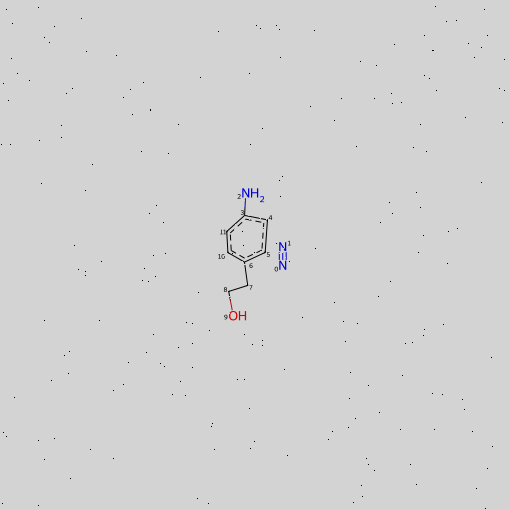 N#N.Nc1ccc(CCO)cc1